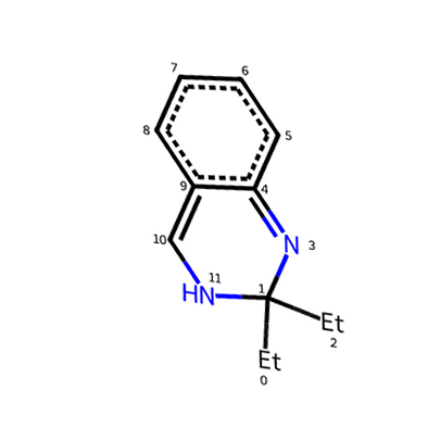 CCC1(CC)N=c2ccccc2=CN1